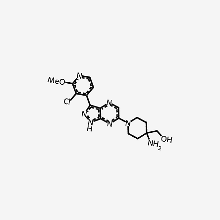 COc1nccc(-c2n[nH]c3nc(N4CCC(N)(CO)CC4)cnc23)c1Cl